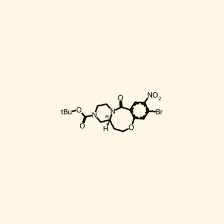 CC(C)(C)OC(=O)N1CCN2C(=O)c3cc([N+](=O)[O-])c(Br)cc3OCC[C@@H]2C1